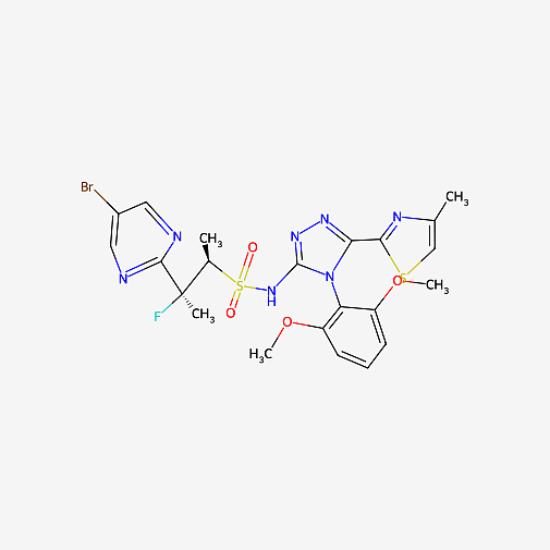 COc1cccc(OC)c1-n1c(NS(=O)(=O)[C@H](C)[C@@](C)(F)c2ncc(Br)cn2)nnc1-c1nc(C)cs1